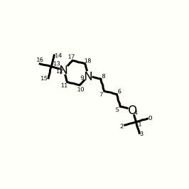 CC(C)(C)OCCCCN1CCN(C(C)(C)C)CC1